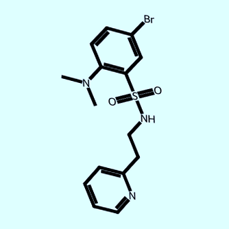 CN(C)c1ccc(Br)cc1S(=O)(=O)NCCc1ccccn1